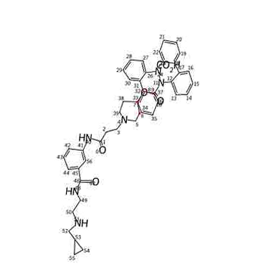 O=C(CCN1CCC(OC(=O)N(c2ccccc2-c2ccccc2)N(C(=O)O)c2ccccc2-c2ccccc2)CC1)Nc1cccc(C(=O)NCCNCC2CC2)c1